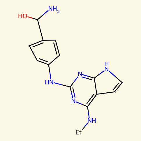 CCNc1nc(Nc2ccc(C(N)O)cc2)nc2[nH]ccc12